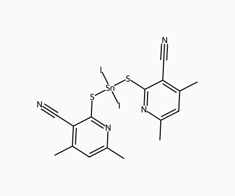 Cc1cc(C)c(C#N)c([S][Sn]([I])([I])[S]c2nc(C)cc(C)c2C#N)n1